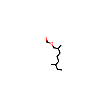 CCC(C)CCCC(C)COC=O